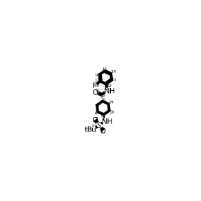 CC(C)(C)S(=O)(=O)N[C@H]1CC[C@H](C(=O)Nc2ccccc2F)CC1